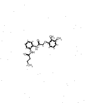 CCCC(=O)Nc1ccccc1NC(=O)COc1cccc(C)c1C